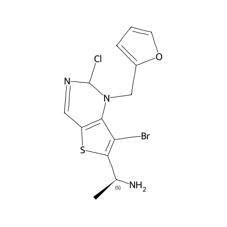 C[C@H](N)c1sc2c(c1Br)N(Cc1ccco1)C(Cl)N=C2